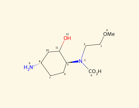 COCCN(C(=O)O)[C@H]1CC[C@H](N)CC1O